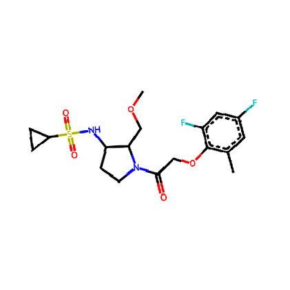 COCC1C(NS(=O)(=O)C2CC2)CCN1C(=O)COc1c(C)cc(F)cc1F